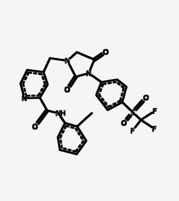 Cc1ccccc1NC(=O)c1cc(CN2CC(=O)N(c3ccc(S(=O)(=O)C(F)(F)F)cc3)C2=O)ccn1